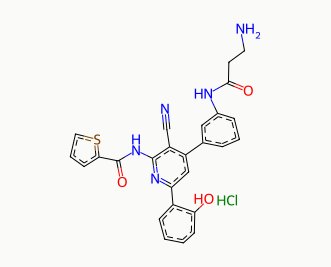 Cl.N#Cc1c(-c2cccc(NC(=O)CCN)c2)cc(-c2ccccc2O)nc1NC(=O)c1cccs1